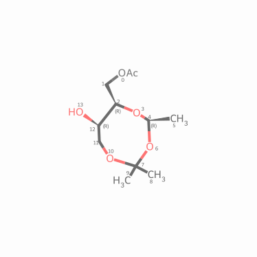 CC(=O)OC[C@H]1O[C@@H](C)OC(C)(C)OC[C@H]1O